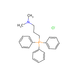 CN(C)CCC[P+](c1ccccc1)(c1ccccc1)c1ccccc1.[Cl-]